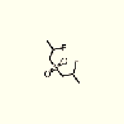 CC(F)CS(=O)(=O)CC(C)F